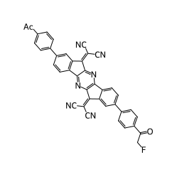 CC(=O)c1ccc(-c2ccc3c(c2)C(=C(C#N)C#N)c2nc4c(nc2-3)C(=C(C#N)C#N)c2cc(-c3ccc(C(=O)CF)cc3)ccc2-4)cc1